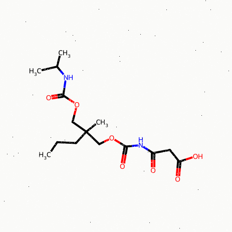 CCCC(C)(COC(=O)NC(=O)CC(=O)O)COC(=O)NC(C)C